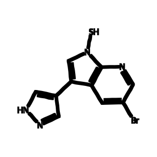 Sn1cc(-c2cn[nH]c2)c2cc(Br)cnc21